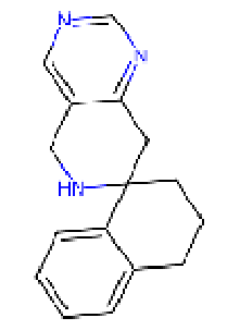 c1ccc2c(c1)CCCC21Cc2ncncc2CN1